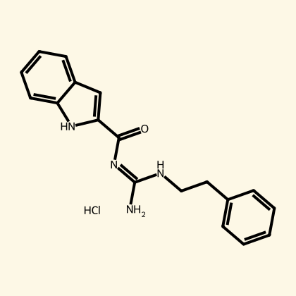 Cl.NC(=NC(=O)c1cc2ccccc2[nH]1)NCCc1ccccc1